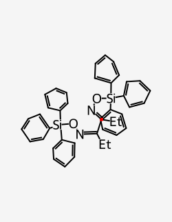 CCC(=NO[Si](c1ccccc1)(c1ccccc1)c1ccccc1)C(CC)=NO[Si](c1ccccc1)(c1ccccc1)c1ccccc1